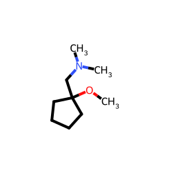 COC1(CN(C)C)CCCC1